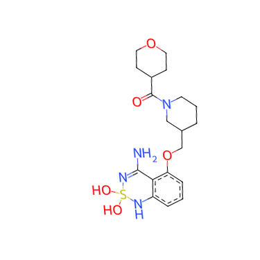 NC1=NS(O)(O)Nc2cccc(OCC3CCCN(C(=O)C4CCOCC4)C3)c21